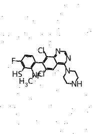 CN(F)c1c(-c2c(Cl)cc3c(N4CCNCC4)ncnc3c2Cl)ccc(F)c1S